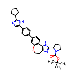 CC(C)(C)OC(=O)N1CCC[C@H]1c1nc2c([nH]1)-c1ccc(-c3ccc(-c4cnc(C5CCCC5)[nH]4)cc3)cc1OCC2